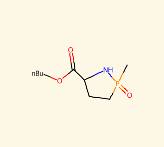 CCCCOC(=O)C1CCP(C)(=O)N1